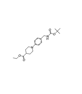 CCOC(=O)C1CCN(c2ccc(CNC(=O)OC(C)(C)C)cc2)CC1